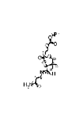 CC(C)OC(=O)OCOP1(=O)OCC(C)(C)[C@H](C(=N)NCCC(N)=O)O1